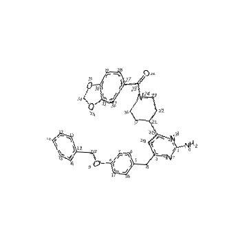 Nc1nc(Cc2ccc(OCc3ccccc3)cc2)cc(C2CCN(C(=O)c3ccc4c(c3)OCO4)CC2)n1